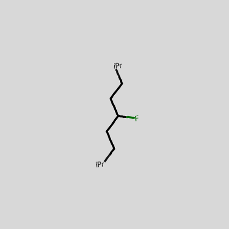 CC(C)CCC(F)CCC(C)C